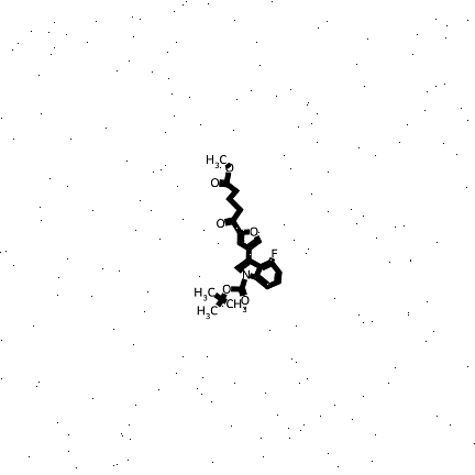 COC(=O)CCCC(=O)c1cc(-c2cn(C(=O)OC(C)(C)C)c3cccc(F)c23)co1